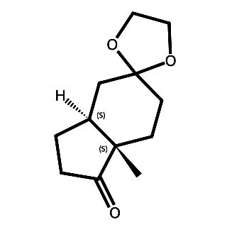 C[C@]12CCC3(C[C@@H]1CCC2=O)OCCO3